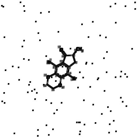 CC1Cc2c(Br)c3c(c(Br)c2C1=O)OCCO3